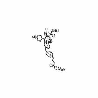 COC(=O)CCCN1CCN(CC2CN(C(C(=N)NC(=O)OC(C)(C)C)C3CCNCC3)C(=O)O2)CC1